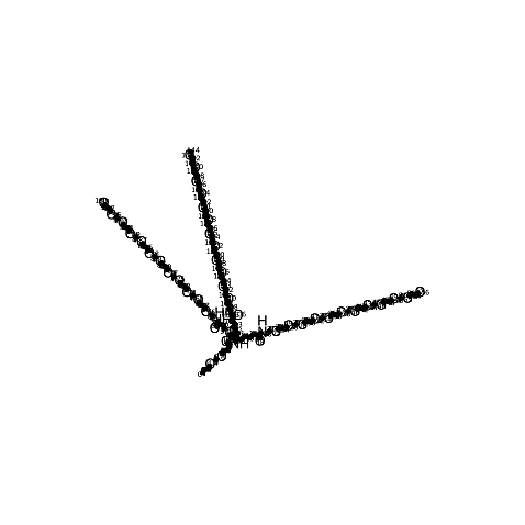 CCCOCCOCCC(=O)NC(CCCCC(=O)NCCOCCOCCOCCOCCOCCOCCOCCOCCOCCOCCOCCOC)(COCCC(=O)NCCOCCOCCOCCOCCOCCOCCOCCOCCOCCOCCOCCOC)COCCC(=O)NCCOCCOCCOCCOCCOCCOCCOCCOCCOCCOCCOCCOC